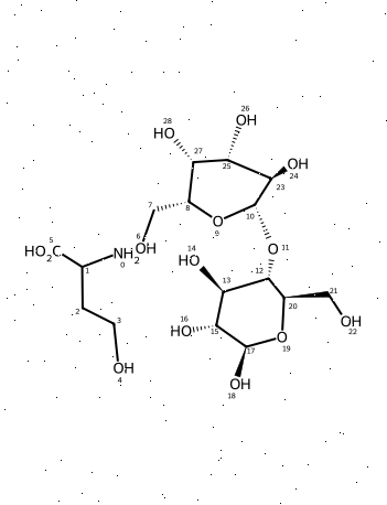 NC(CCO)C(=O)O.OC[C@H]1O[C@@H](O[C@H]2[C@H](O)[C@@H](O)[C@H](O)O[C@@H]2CO)[C@H](O)[C@@H](O)[C@H]1O